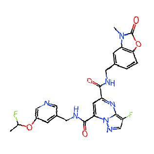 CC(F)Oc1cncc(CNC(=O)c2cc(C(=O)NCc3ccc4oc(=O)n(C)c4c3)nc3c(F)cnn23)c1